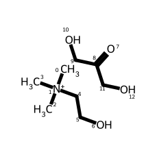 C[N+](C)(C)CCO.O=C(CO)CO